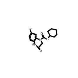 O=C1CN(C(=O)OC2CCCCC2)c2cc(Br)ccc2N1